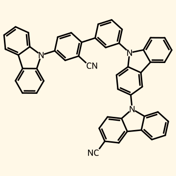 N#Cc1ccc2c(c1)c1ccccc1n2-c1ccc2c(c1)c1ccccc1n2-c1cccc(-c2ccc(-n3c4ccccc4c4ccccc43)cc2C#N)c1